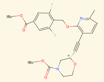 Cc1ccc(C#C[C@H]2CN(C(=O)OC(C)(C)C)CCO2)c(OCc2c(F)cc(C(=O)OC(C)(C)C)cc2F)n1